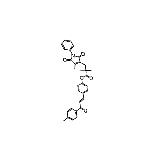 CC1=C(CC(C)(C)C(=O)Oc2ccc(C=CC(=O)c3ccc(C)cc3)cc2)C(=O)N(c2ccccc2)C1=O